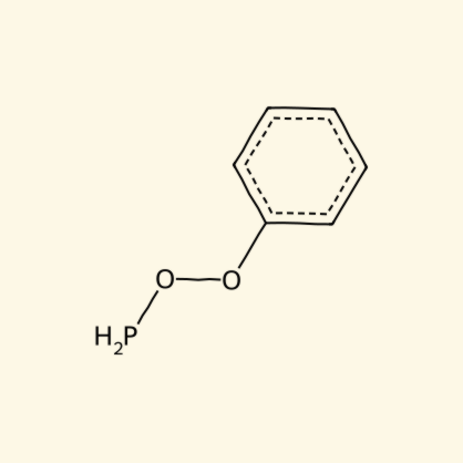 POOc1ccccc1